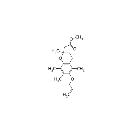 C=CCOc1c(C)c(C)c2c(c1C)CCC(C)(CC(=O)OC)O2